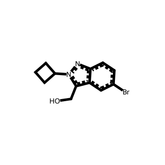 OCc1c2cc(Br)ccc2nn1C1CCC1